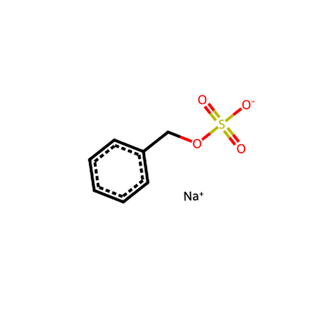 O=S(=O)([O-])OCc1ccccc1.[Na+]